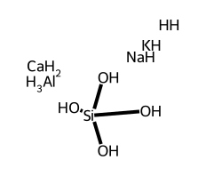 O[Si](O)(O)O.[AlH3].[CaH2].[HH].[KH].[NaH]